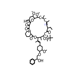 CCC1/C=C(\C)CC(C)CC(OC)C2OC(O)(C(=O)C(=O)N3CCCCC3C(=O)OC(C(C)=CC3CCC(OCC(O)c4ccccc4)C(OC)C3)C(C)C(O[Si](C)(C)C(C)(C)C)CC1=O)C(C)CC2OC